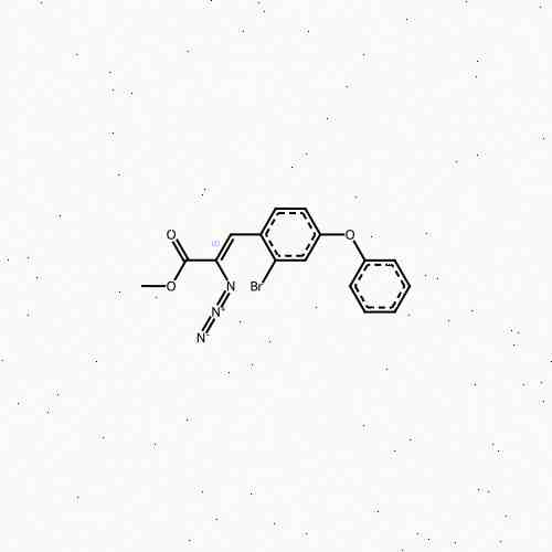 COC(=O)/C(=C/c1ccc(Oc2ccccc2)cc1Br)N=[N+]=[N-]